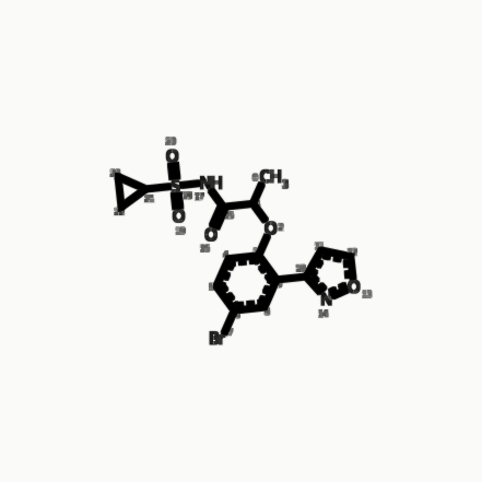 CC(Oc1ccc(Br)cc1-c1ccon1)C(=O)NS(=O)(=O)C1CC1